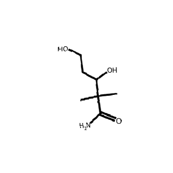 CC(C)(C(N)=O)C(O)CCO